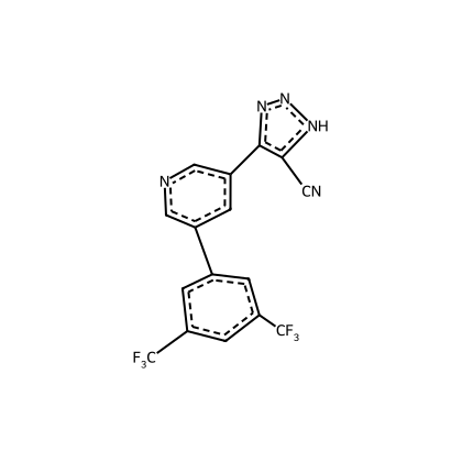 N#Cc1[nH]nnc1-c1cncc(-c2cc(C(F)(F)F)cc(C(F)(F)F)c2)c1